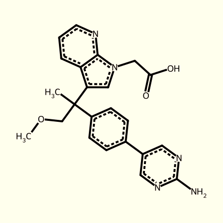 COCC(C)(c1ccc(-c2cnc(N)nc2)cc1)c1cn(CC(=O)O)c2ncccc12